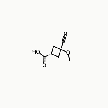 CO[C@]1(C#N)C[C@H](C(=O)O)C1